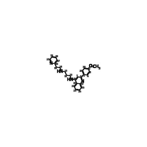 COc1ccc(-c2cc(NCCCNCCc3ccccn3)c3ccccc3n2)cc1